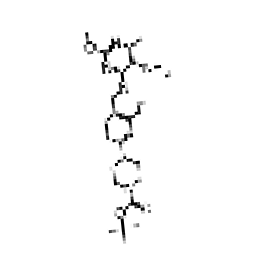 COc1nc(C)c(N)c(NCc2ccc(C3CCN(C(=O)OC(C)(C)C)CC3)cc2F)n1